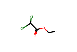 [CH2]COC(=O)C(Cl)Cl